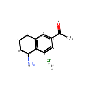 CC(=O)c1ccc2c(c1)CCCC2N.[Cl-].[H+]